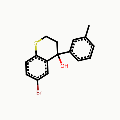 Cc1cccc(C2(O)CCSc3ccc(Br)cc32)c1